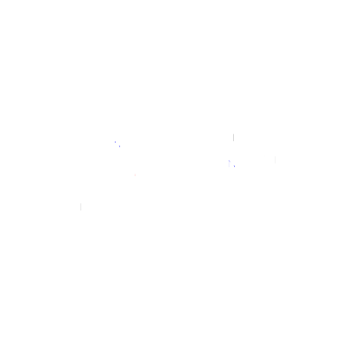 CC(Cc1cccc(N(C)C)c1)ON1CCCC1